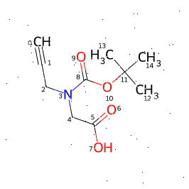 C#CCN(CC(=O)O)C(=O)OC(C)(C)C